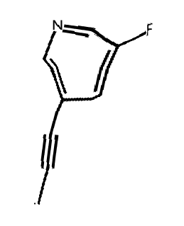 [CH2]C#Cc1cncc(F)c1